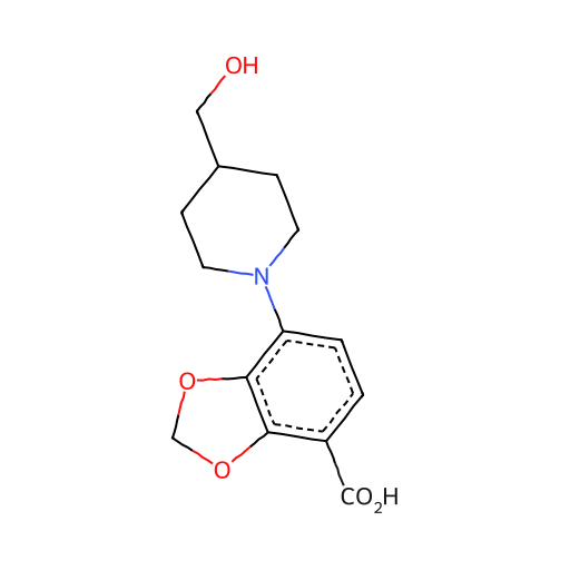 O=C(O)c1ccc(N2CCC(CO)CC2)c2c1OCO2